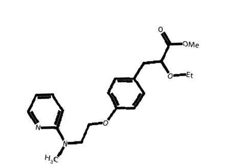 CCOC(Cc1ccc(OCCN(C)c2ccccn2)cc1)C(=O)OC